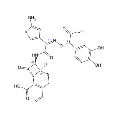 C=CC1=C(C(=O)O)N2C(=O)[C@@H](NC(=O)/C(=N\O[C@H](C(=O)O)c3ccc(O)c(O)c3)c3csc(N)n3)[C@H]2SC1